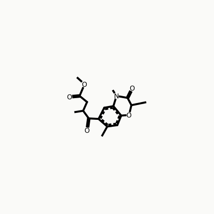 COC(=O)CC(C)C(=O)c1cc2c(cc1C)OC(C)C(=O)N2C